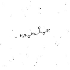 CCOC(=O)C=NON